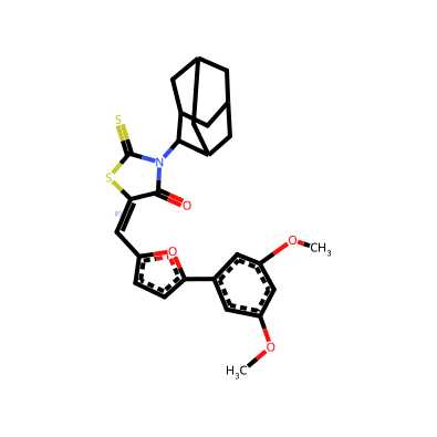 COc1cc(OC)cc(-c2ccc(/C=C3/SC(=S)N(C4C5CC6CC(C5)CC4C6)C3=O)o2)c1